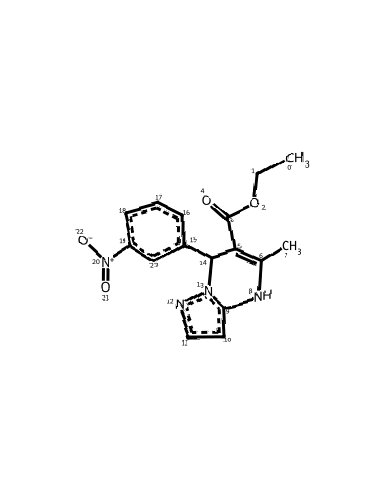 CCOC(=O)C1=C(C)Nc2ccnn2C1c1cccc([N+](=O)[O-])c1